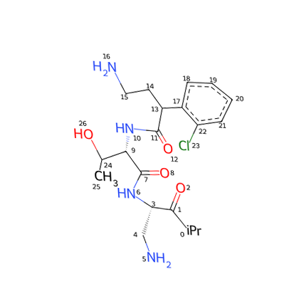 CC(C)C(=O)[C@H](CN)NC(=O)[C@@H](NC(=O)C(CCN)c1ccccc1Cl)C(C)O